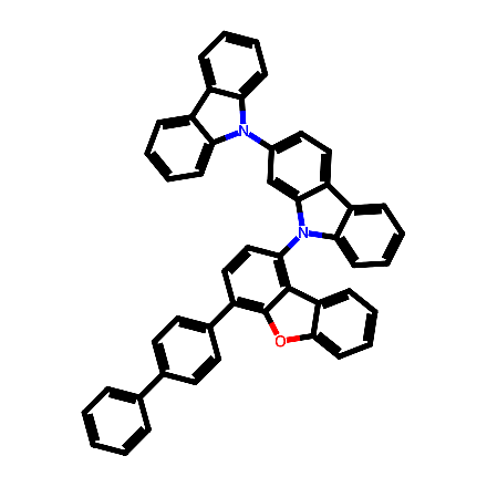 c1ccc(-c2ccc(-c3ccc(-n4c5ccccc5c5ccc(-n6c7ccccc7c7ccccc76)cc54)c4c3oc3ccccc34)cc2)cc1